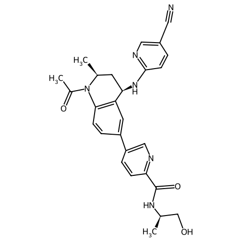 CC(=O)N1c2ccc(-c3ccc(C(=O)N[C@H](C)CO)nc3)cc2[C@H](Nc2ccc(C#N)cn2)C[C@@H]1C